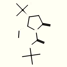 CC(C)(C)OC(=O)N1C(=O)C[C@H](C(C)(Cl)Cl)[C@H]1CO